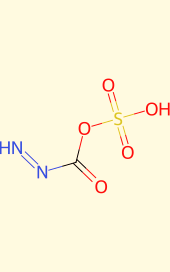 N=NC(=O)OS(=O)(=O)O